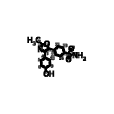 Cc1nc(-c2ccc(O)cc2)c(-c2ccc(S(N)(=O)=O)cc2)o1